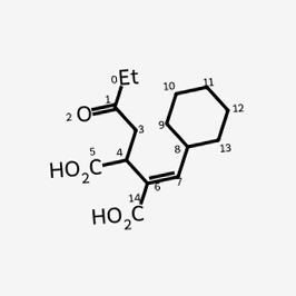 CCC(=O)CC(C(=O)O)C(=CC1CCCCC1)C(=O)O